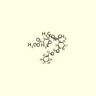 COC(=O)CC=C(OC)C(C)ON=C(C)c1cccc(OCOCc2ccccc2)c1